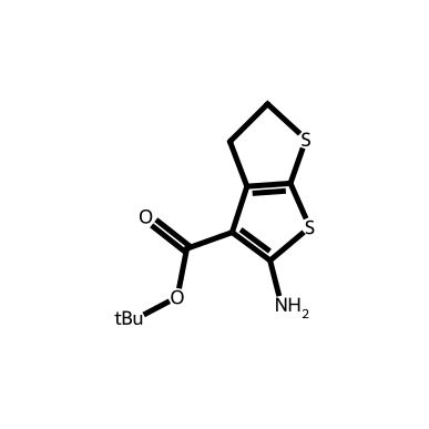 CC(C)(C)OC(=O)c1c(N)sc2c1CCS2